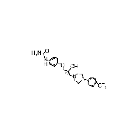 NC(=O)Nc1ccc(OC[C@@H](O)CN2CCN(c3ccc(C(F)(F)F)cc3)CC2)cc1